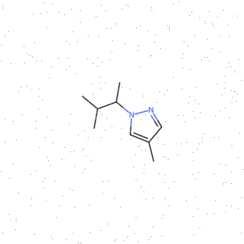 Cc1cnn(C(C)C(C)C)c1